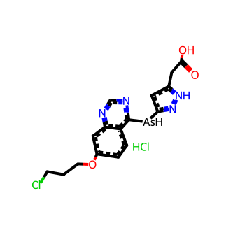 Cl.O=C(O)Cc1cc([AsH]c2ncnc3cc(OCCCCl)ccc23)n[nH]1